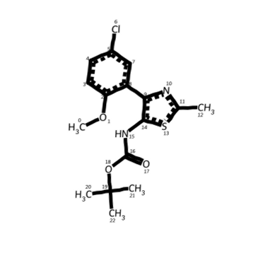 COc1ccc(Cl)cc1-c1nc(C)sc1NC(=O)OC(C)(C)C